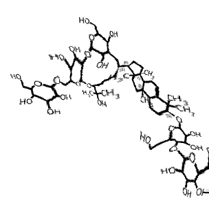 CC(C)(O)C1CC[C@H]([C@H]2CC[C@@]3(C)C4CC=C5C(CC[C@H](OC6OC(CO)C(OC7OC(CO)C(O)C(O)C7O)C(O)C6O)C5(C)C)[C@]4(C)CC[C@]23C)CC2C(O)C(CO)OC(OC3C(OC(COC4OC(CO)C(O)C(O)C4O)C(O)C3O)O1)C2O